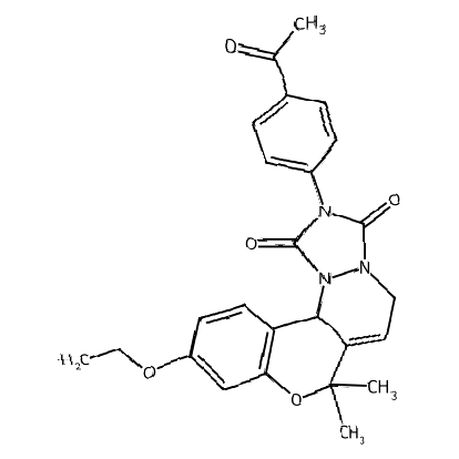 [CH2]COc1ccc2c(c1)OC(C)(C)C1=CCn3c(=O)n(-c4ccc(C(C)=O)cc4)c(=O)n3C12